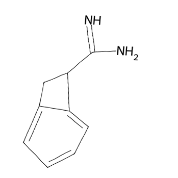 N=C(N)C1Cc2ccccc21